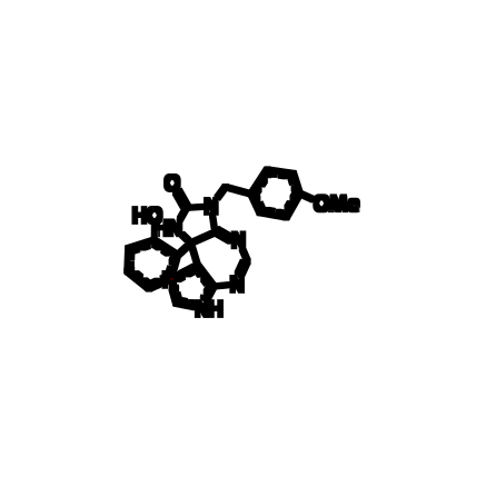 COc1ccc(CN2C(=O)NC3(c4ccccc4O)C2=NC=Nc2[nH]cnc23)cc1